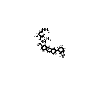 Cc1cc(N)nc(C)c1CNC(=O)c1ccc2c(c1)C1OC2c2ccc(-c3cccc4ncoc34)cc21